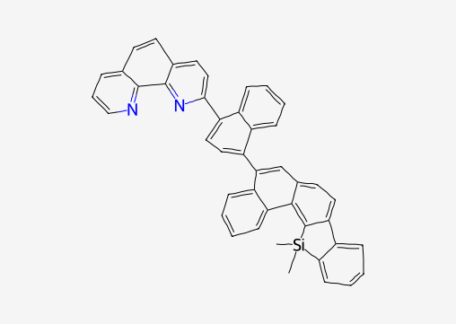 C[Si]1(C)c2ccccc2-c2ccc3cc(-c4ccc(-c5ccc6ccc7cccnc7c6n5)c5ccccc45)c4ccccc4c3c21